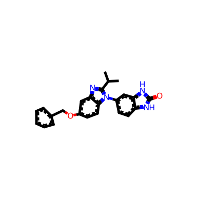 CC(C)c1nc2cc(OCc3ccccc3)ccc2n1-c1ccc2[nH]c(=O)[nH]c2c1